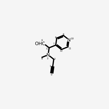 C#CCN(C)C(C=O)c1ccncc1